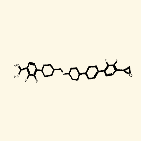 CCCC(O)c1ccc(C2CCC(COC3CCC(C4CC=C(c5ccc(C6CO6)c(F)c5F)CC4)CC3)CC2)c(F)c1F